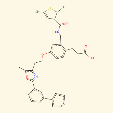 Cc1oc(-c2cccc(-c3ccccc3)c2)nc1CCOc1ccc(CCC(=O)O)c(CNC(=O)C2C=C(Cl)SC2Cl)c1